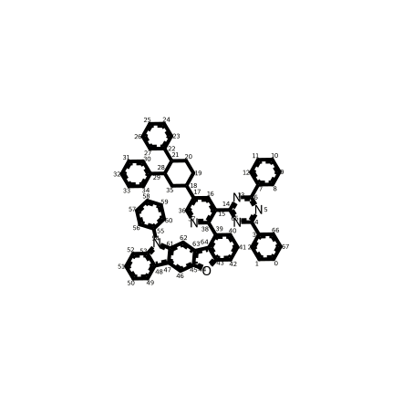 c1ccc(-c2nc(-c3ccccc3)nc(-c3cc(C4CCC(c5ccccc5)C(c5ccccc5)C4)cnc3-c3cccc4oc5cc6c7ccccc7n(-c7ccccc7)c6cc5c34)n2)cc1